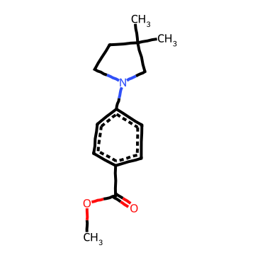 COC(=O)c1ccc(N2CCC(C)(C)C2)cc1